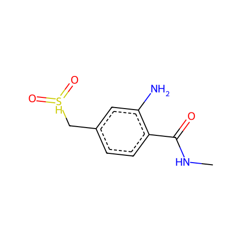 CNC(=O)c1ccc(C[SH](=O)=O)cc1N